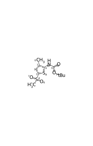 Cc1cc(S(C)(=O)=O)sc1NC(=O)OC(C)(C)C